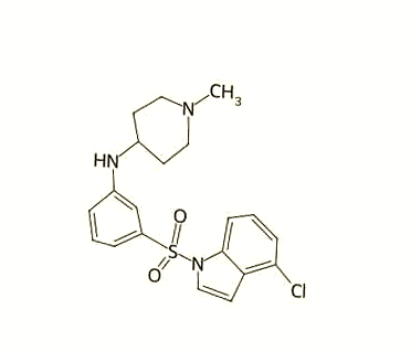 CN1CCC(Nc2cccc(S(=O)(=O)n3ccc4c(Cl)cccc43)c2)CC1